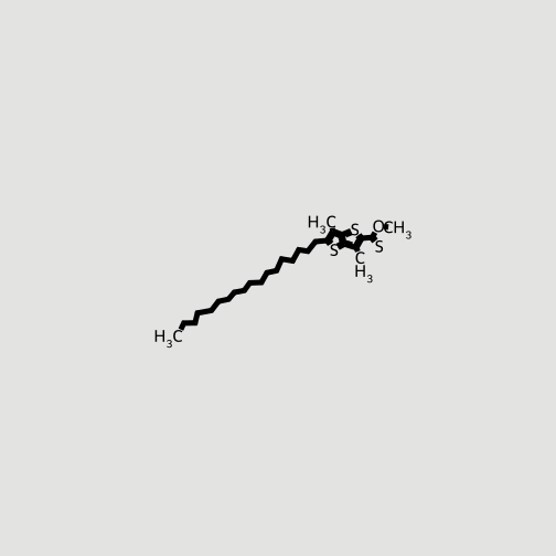 CCCCCCCCCCCCCCCCCCc1sc2c(C)c(C(=S)OC)sc2c1C